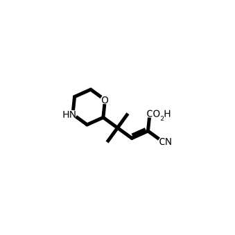 CC(C)(C=C(C#N)C(=O)O)C1CNCCO1